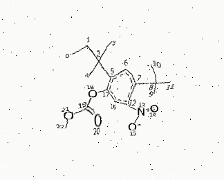 CCC(C)(C)c1cc(C(C)(C)C)c([N+](=O)[O-])cc1OC(=O)OC